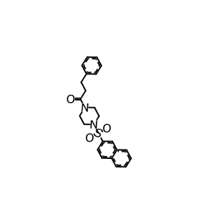 O=C(CCc1ccccc1)N1CCN(S(=O)(=O)c2ccc3ccccc3c2)CC1